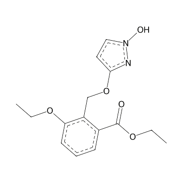 CCOC(=O)c1cccc(OCC)c1COc1ccn(O)n1